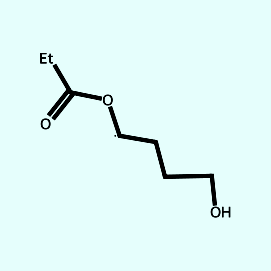 CCC(=O)O[CH]CCCO